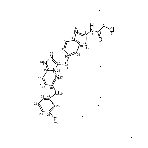 O=C(CCl)Nc1nc2ccc(Sc3nnc4ccc(Oc5cccc(F)c5)nn34)cc2s1